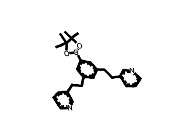 CC1(C)OB(c2cc(CCc3cccnc3)cc(CCc3cccnc3)c2)OC1(C)C